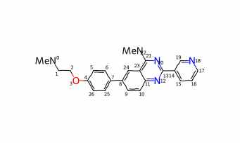 CNCCOc1ccc(-c2ccc3nc(-c4cccnc4)nc(NC)c3c2)cc1